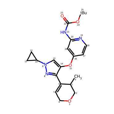 CC1COCC=C1c1nn(C2CC2)cc1Oc1ccnc(NC(=O)OC(C)(C)C)c1